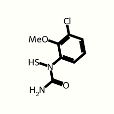 COc1c(Cl)cccc1N(S)C(N)=O